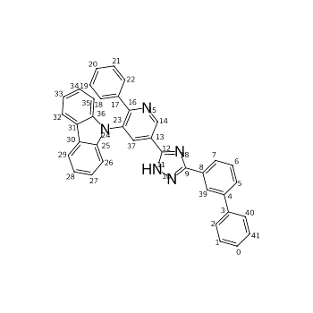 c1ccc(-c2cccc(-c3n[nH]c(-c4cnc(-c5ccccc5)c(-n5c6ccccc6c6ccccc65)c4)n3)c2)cc1